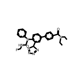 CCN(CC)C(=O)c1ccc(-c2ccc(N(C(=O)NCF)c3ccccc3)c(C3N=NN=N3)c2)cc1